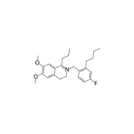 CCCCc1cc(F)ccc1C[N+]1=C(CCC)c2cc(OC)c(OC)cc2CC1